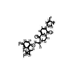 Cc1cn(-c2ccc3n(c2=O)CCN([C@@H](C)COc2ccc(F)cc2C2(C)CC2(F)F)C3=O)cn1